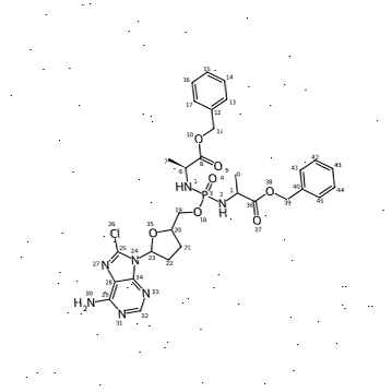 CC(NP(=O)(N[C@@H](C)C(=O)OCc1ccccc1)OCC1CCC(n2c(Cl)nc3c(N)ncnc32)O1)C(=O)OCc1ccccc1